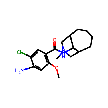 COc1cc(N)c(Cl)cc1C(=O)NC1C2CCCCC1CN(C)C2